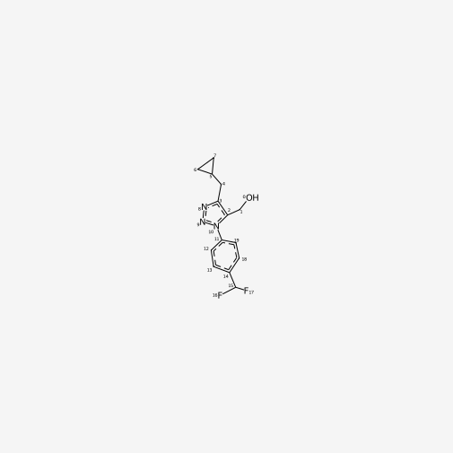 OCc1c(CC2CC2)nnn1-c1ccc(C(F)F)cc1